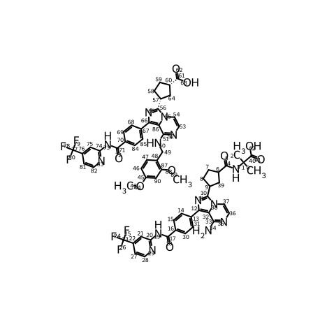 CC(C)(NC(=O)C1CCC(c2nc(-c3ccc(C(=O)Nc4cc(C(F)(F)F)ccn4)cc3)c3c(N)nccn23)C1)C(=O)O.COc1ccc(CNc2nccn3c([C@@H]4CC[C@H](C(=O)O)C4)nc(-c4ccc(C(=O)Nc5cc(C(F)(F)F)ccn5)cc4)c23)c(OC)c1